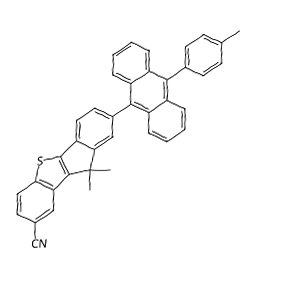 Cc1ccc(-c2c3ccccc3c(-c3ccc4c(c3)C(C)(C)c3c-4sc4ccc(C#N)cc34)c3ccccc23)cc1